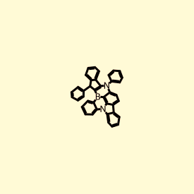 c1ccc(C2C3=C(c4ccccc42)N(c2ccccc2)c2ccc4c5ccccc5n5c4c2B3c2ccccc2-5)cc1